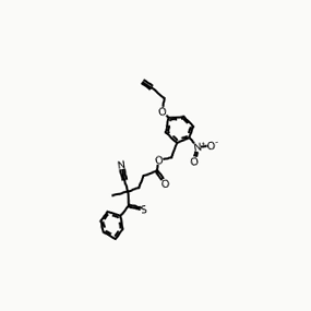 C#CCOc1ccc([N+](=O)[O-])c(COC(=O)CCC(C)(C#N)C(=S)c2ccccc2)c1